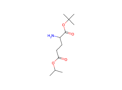 CC(C)OC(=O)CCC(N)C(=O)OC(C)(C)C